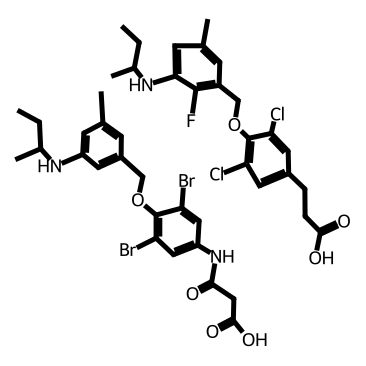 CCC(C)Nc1cc(C)cc(COc2c(Br)cc(NC(=O)CC(=O)O)cc2Br)c1.CCC(C)Nc1cc(C)cc(COc2c(Cl)cc(CCC(=O)O)cc2Cl)c1F